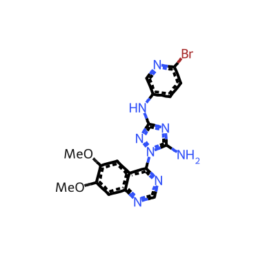 COc1cc2ncnc(-n3nc(Nc4ccc(Br)nc4)nc3N)c2cc1OC